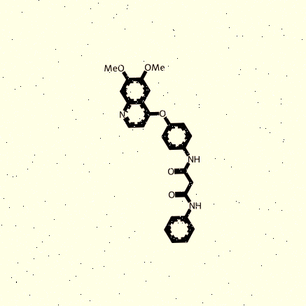 COc1cc2nccc(Oc3ccc(NC(=O)CC(=O)Nc4ccccc4)cc3)c2cc1OC